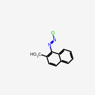 O=C(O)c1ccc2ccccc2c1N=NCl